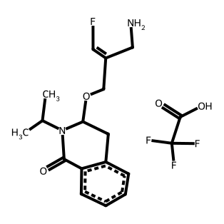 CC(C)N1C(=O)c2ccccc2CC1OCC(=CF)CN.O=C(O)C(F)(F)F